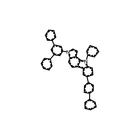 c1ccc(-c2ccc(-c3ccc4c(c3)c3ccc5c(ccn5-c5cc(-c6ccccc6)cc(-c6ccccc6)c5)c3n4-c3ccccc3)cc2)cc1